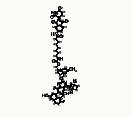 C#Cc1c(F)ccc2cc(O)cc(-c3ncc4c(N5C[C@H]6CC[C@@H](C5)N6)nc(OC[C@@]56CC[C@@H](COC(=O)NCCCCCCCC(=O)Nc7ccc8c(c7)C(=O)N(C7CCC(=O)NC7=O)C8=O)N5CC(=C)C6)nc4c3F)c12